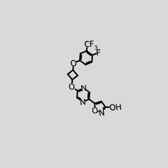 Oc1cc(-c2cnc(OC3CC(Oc4ccc(F)c(C(F)(F)F)c4)C3)cn2)on1